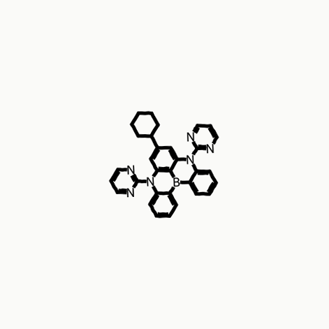 c1cnc(N2c3ccccc3B3c4ccccc4N(c4ncccn4)c4cc(C5CCCCC5)cc2c43)nc1